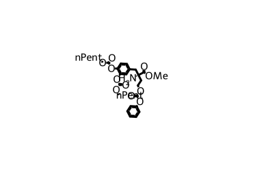 CCCCCOC(=O)Oc1ccc(C[C@](N)(CCOC(=O)Oc2ccccc2)C(=O)OC)cc1OC(=O)OCCCCC